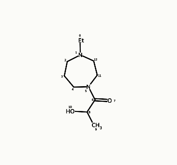 CCN1CCCN(C(=O)C(C)O)CC1